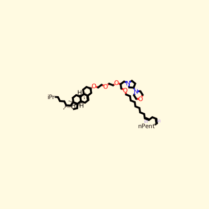 CCCCC/C=C\C/C=C\CCCCCCCCOCC(CN1CCC(N2CCOCC2)C1)OCCOCCO[C@H]1CC[C@@]2(C)C(=CC[C@H]3[C@@H]4CC[C@H]([C@H](C)CCCC(C)C)[C@@]4(C)CC[C@@H]32)C1